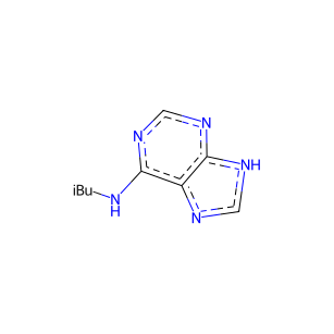 CCC(C)Nc1ncnc2[nH]cnc12